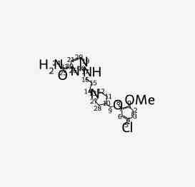 COc1ccc(Cl)cc1OCC1CCN(CCCNc2nccc(C(N)=O)n2)CC1